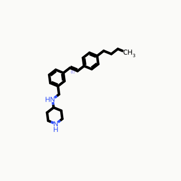 CCCCc1ccc(/C=C/c2cccc(CNC3CCNCC3)c2)cc1